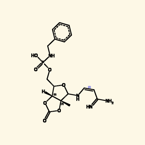 C[C@@]12OC(=O)O[C@@H]1C(COP(=O)(O)NCc1ccccc1)OC2N/C=C\C(=N)N